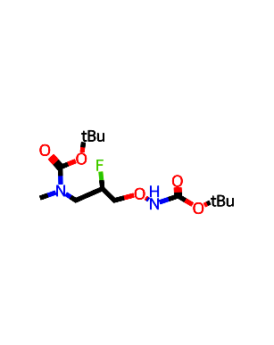 CN(CC(F)CONC(=O)OC(C)(C)C)C(=O)OC(C)(C)C